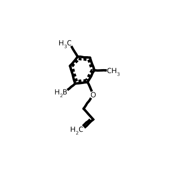 Bc1cc(C)cc(C)c1OCC=C